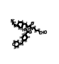 [N-]=[N+]=Nc1ccc(C=C(NC(=O)c2ccc(CN3CCOCC3)cc2)C(=O)NCCCC=O)cc1